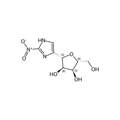 O=[N+]([O-])c1nc([C@@H]2O[C@H](CO)[C@@H](O)[C@H]2O)c[nH]1